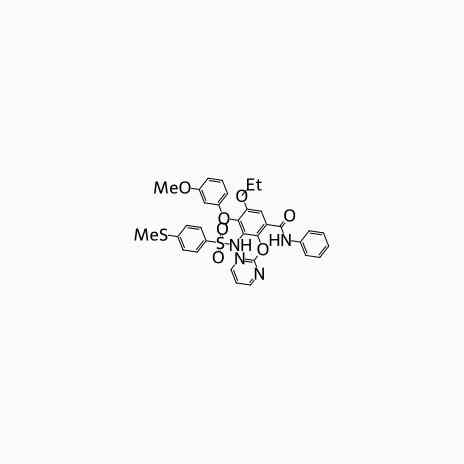 CCOc1cc(C(=O)Nc2ccccc2)c(Oc2ncccn2)c(NS(=O)(=O)c2ccc(SC)cc2)c1Oc1cccc(OC)c1